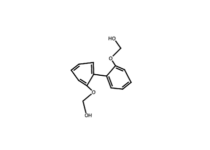 OCOc1ccccc1-c1ccccc1OCO